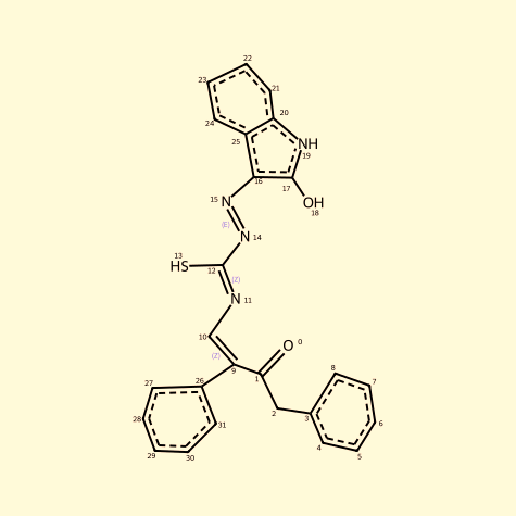 O=C(Cc1ccccc1)\C(=C/N=C(S)/N=N/c1c(O)[nH]c2ccccc12)c1ccccc1